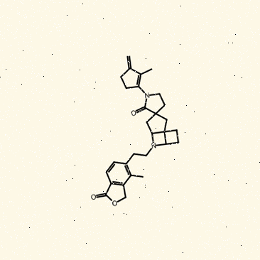 C=C1CCC(N2CCC3(CC4N(CCc5ccc6c(c5C)COC6=O)C5CCC54C3)C2=O)=C1C